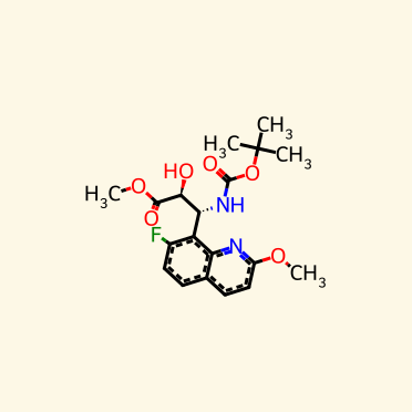 COC(=O)[C@@H](O)[C@H](NC(=O)OC(C)(C)C)c1c(F)ccc2ccc(OC)nc12